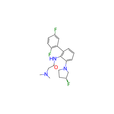 CN(C)CC(=O)Nc1c(-c2cc(F)ccc2F)cccc1N1CC[C@H](F)C1